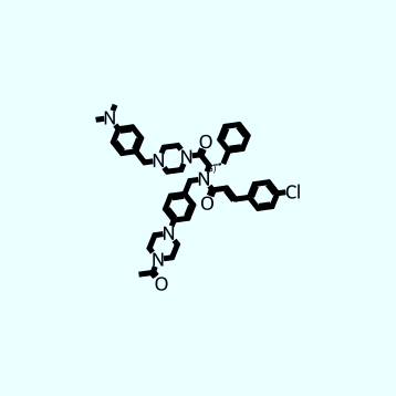 CC(=O)N1CCN(c2ccc(CN(C(=O)C=Cc3ccc(Cl)cc3)[C@@H](Cc3ccccc3)C(=O)N3CCN(Cc4ccc(N(C)C)cc4)CC3)cc2)CC1